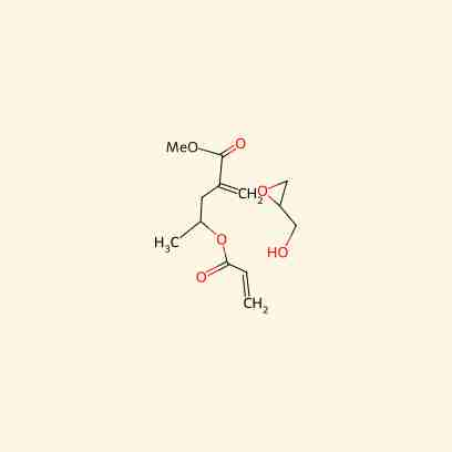 C=CC(=O)OC(C)CC(=C)C(=O)OC.OCC1CO1